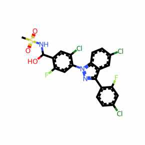 CS(=O)(=O)NC(O)c1cc(Cl)c(-n2nc(-c3ccc(Cl)cc3F)c3cc(Cl)ccc32)cc1F